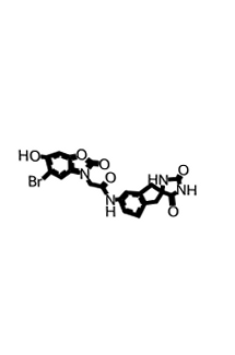 O=C(Cn1c(=O)oc2cc(O)c(Br)cc21)Nc1ccc2c(c1)CC1(C2)NC(=O)NC1=O